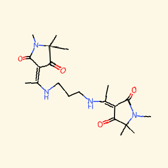 CC(NCCCNC(C)=C1C(=O)N(C)C(C)(C)C1=O)=C1C(=O)N(C)C(C)(C)C1=O